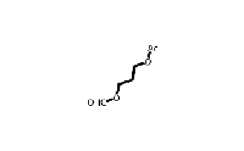 CC(=O)OCCCO[C]=O